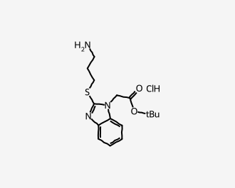 CC(C)(C)OC(=O)Cn1c(SCCCN)nc2ccccc21.Cl